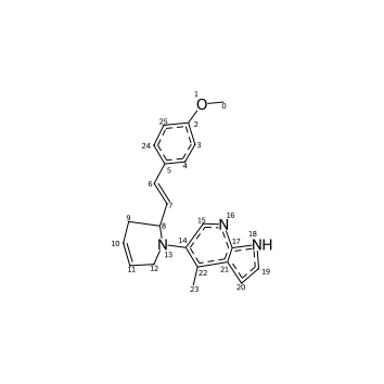 COc1ccc(C=CC2CC=CCN2c2cnc3[nH]ccc3c2C)cc1